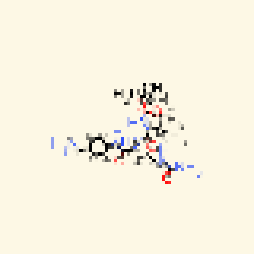 CC(C)[C@H](NC(=O)OC(C)(C)C)C(=O)N[C@@H](CCCNC(N)=O)C(=O)Nc1ccc(CN)cc1